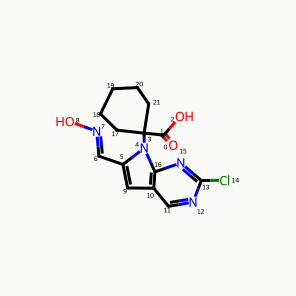 O=C(O)C1(n2c(C=NO)cc3cnc(Cl)nc32)CCCCC1